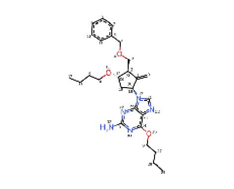 C=C1[C@H](COCc2ccccc2)[C@@H](OCCCC)C[C@@H]1n1cnc2c(OCCCC)nc(N)nc21